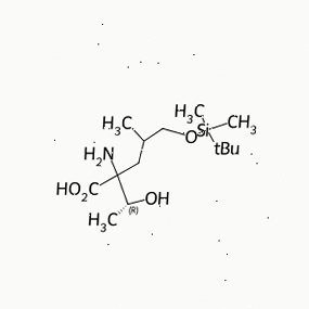 CC(CO[Si](C)(C)C(C)(C)C)CC(N)(C(=O)O)[C@@H](C)O